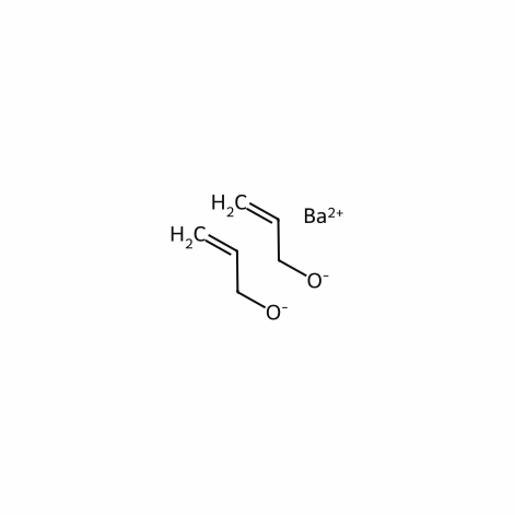 C=CC[O-].C=CC[O-].[Ba+2]